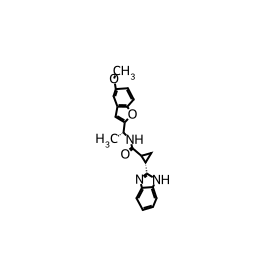 COc1ccc2oc([C@@H](C)NC(=O)C3C[C@@H]3c3nc4ccccc4[nH]3)cc2c1